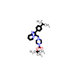 CC(C)c1ccc(-c2nc3ccccn3c2CN2CCN(C(=O)OC(C)(C)C)CC2)cc1